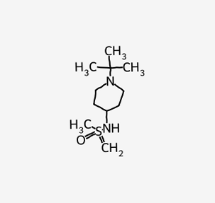 C=S(C)(=O)NC1CCN(C(C)(C)C)CC1